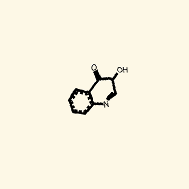 O=C1c2ccccc2N=CC1O